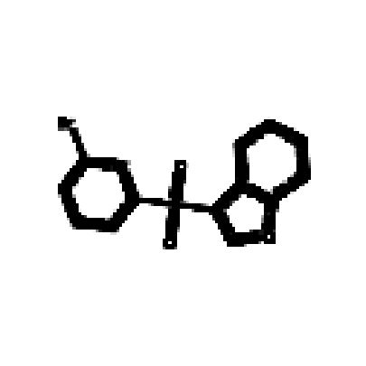 O=S(=O)(c1[c]c(Br)ccc1)c1coc2ccccc12